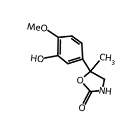 COc1ccc(C2(C)CNC(=O)O2)cc1O